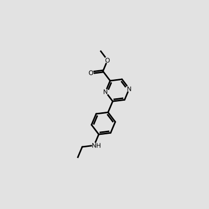 CCNc1ccc(-c2cncc(C(=O)OC)n2)cc1